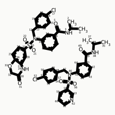 CC(C)NC(=O)c1cccc(N(Cc2ccc(Cl)cc2)S(=O)(=O)c2ccc3c(c2)NC(=O)CO3)c1.CC(C)NC(=O)c1cccc(N(Cc2ccc(Cl)cc2)S(=O)(=O)c2cccnc2)c1